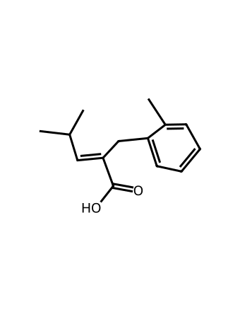 Cc1ccccc1C/C(=C\C(C)C)C(=O)O